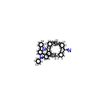 C[Si]1(C)c2cccc3c(C#N)c4cccc(c4cc23)[Si](C)(C)[Si](C)(C)c2cccc3c(-n4c5ccccc5c5ccc6c(c7ccccc7n6-c6ccccc6)c54)c4cccc(c4cc23)[Si]1(C)C